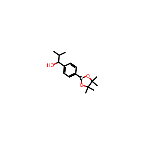 CC(C)C(O)c1ccc(B2OC(C)(C)C(C)(C)O2)cc1